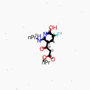 CCCNc1nc(O)c(F)cc1C(=O)CC(=O)OCCC